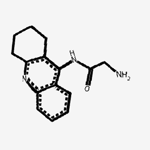 NCC(=O)Nc1c2c(nc3ccccc13)CCCC2